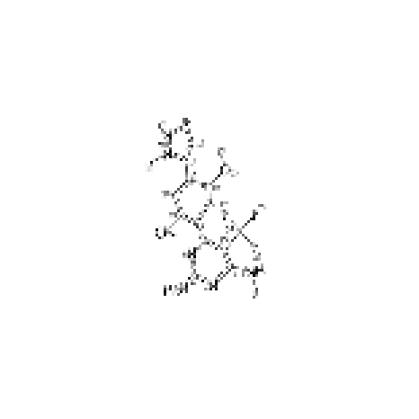 CNc1nc(N)nc(-c2cc(OC)c(-c3ccnn3C)cc2Cl)c1C(F)(F)F